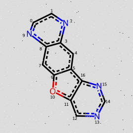 c1cnc2cc3c(cc2n1)oc1cncnc13